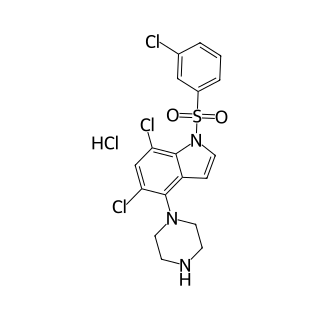 Cl.O=S(=O)(c1cccc(Cl)c1)n1ccc2c(N3CCNCC3)c(Cl)cc(Cl)c21